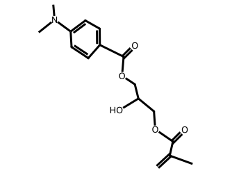 C=C(C)C(=O)OCC(O)COC(=O)c1ccc(N(C)C)cc1